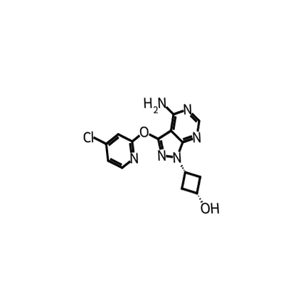 Nc1ncnc2c1c(Oc1cc(Cl)ccn1)nn2[C@H]1C[C@@H](O)C1